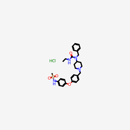 CCNC(=O)N(Cc1ccccc1)C1CCN(Cc2ccc(Oc3ccc(NS(C)(=O)=O)cc3)cc2)CC1.Cl